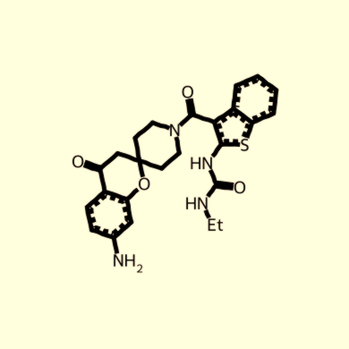 CCNC(=O)Nc1sc2ccccc2c1C(=O)N1CCC2(CC1)CC(=O)c1ccc(N)cc1O2